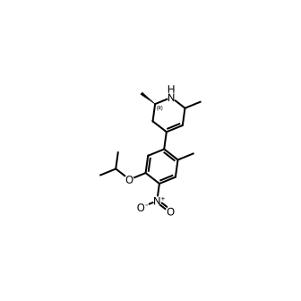 Cc1cc([N+](=O)[O-])c(OC(C)C)cc1C1=CC(C)N[C@H](C)C1